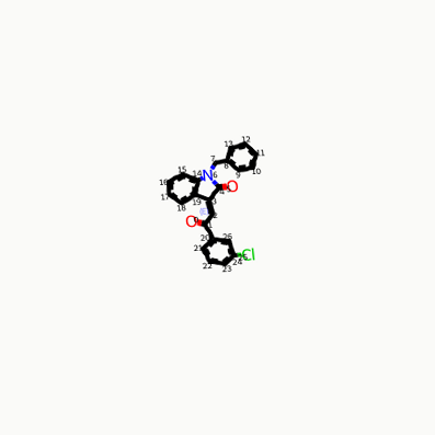 O=C(/C=C1/C(=O)N(Cc2ccccc2)c2ccccc21)c1cccc(Cl)c1